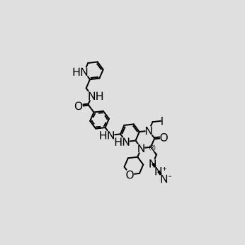 [N-]=[N+]=NC[C@@H]1C(=O)N(CI)C2=CC=C(Nc3ccc(C(=O)NCC4=CC=CCN4)cc3)NC2N1C1CCOCC1